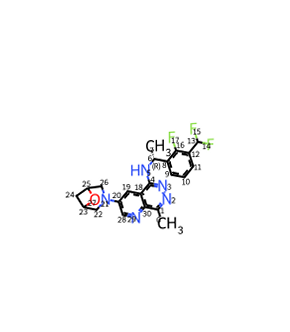 Cc1nnc(N[C@H](C)c2cccc(C(F)F)c2F)c2cc(N3CC4CC(C3)O4)cnc12